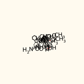 COc1c(C)cc2c(c1O)[C@H](N(C)C)[C@@H]1[C@@H]3SC[C@]4(N[C@@H](CN)Cc5c4[nH]c4ccccc54)C(=O)OC[C@@H](c4c5c(c(C)c(OC(C)=O)c43)OCO5)N1[C@@H](O)C2